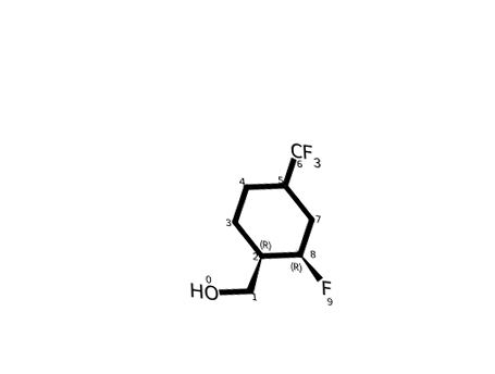 OC[C@H]1CCC(C(F)(F)F)C[C@H]1F